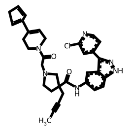 CC#CCC1(C(=O)Nc2ccc3[nH]nc(-c4ccnc(Cl)c4)c3c2)CCN(CC(=O)N2CC=C(C3=CCC=C3)CC2)C1